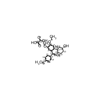 CCOc1cc2c(cc1OC)C(c1ccc(SC)nc1)=N[C@@H]1CC[C@@H](O)C[C@H]21.O=C(O)C(=O)O